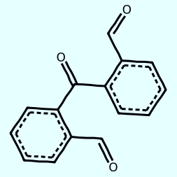 O=Cc1ccccc1C(=O)c1ccccc1C=O